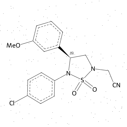 COc1cccc([C@H]2CN(CC#N)S(=O)(=O)N2c2ccc(Cl)cc2)c1